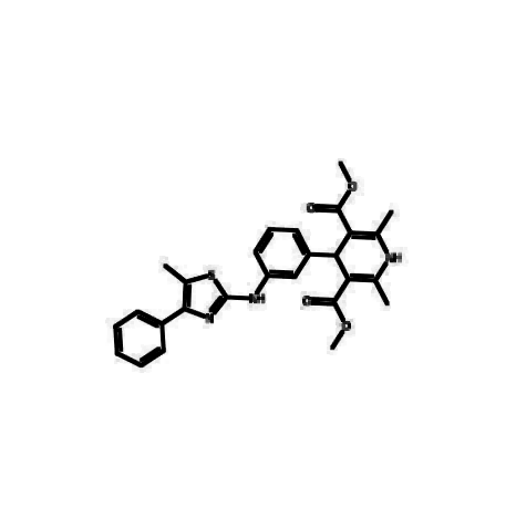 COC(=O)C1=C(C)NC(C)=C(C(=O)OC)C1c1cccc(Nc2nc(-c3ccccc3)c(C)s2)c1